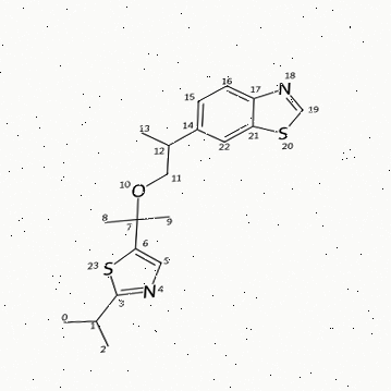 CC(C)c1ncc(C(C)(C)OCC(C)c2ccc3ncsc3c2)s1